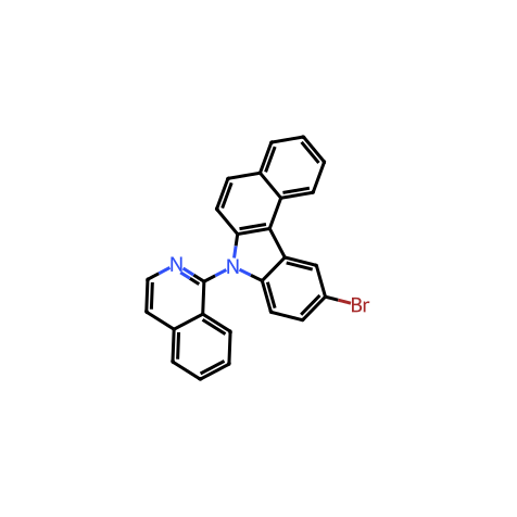 Brc1ccc2c(c1)c1c3ccccc3ccc1n2-c1nccc2ccccc12